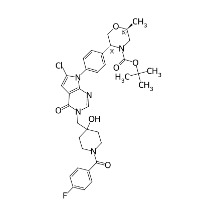 C[C@H]1CN(C(=O)OC(C)(C)C)[C@H](c2ccc(-n3c(Cl)cc4c(=O)n(CC5(O)CCN(C(=O)c6ccc(F)cc6)CC5)cnc43)cc2)CO1